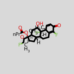 CCCC(=O)O[C@]1(C(=O)CF)[C@@H](C)C[C@H]2[C@@H]3CCC4=C(F)C(=O)C=C[C@]4(C)[C@@]3(F)[C@@H](O)C[C@@]21C